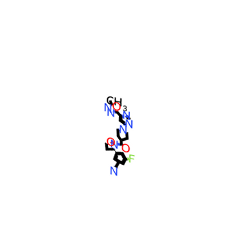 Cc1nnc(-c2cc(N3CCC(C(=O)N4OCC[C@H]4c4cc(F)cc(C#N)c4)CC3)ncn2)o1